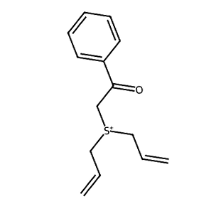 C=CC[S+](CC=C)CC(=O)c1ccccc1